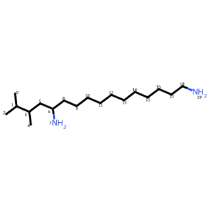 CC(C)C(C)CC(N)CCCCCCCCCCCN